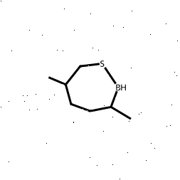 CC1BSCC(C)CC1